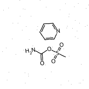 CS(=O)(=O)OC(N)=O.c1ccncc1